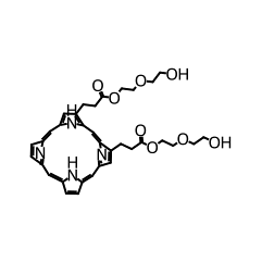 O=C(CCC1=Cc2cc3ccc(cc4nc(cc5cc(CCC(=O)OCCOCCO)c(cc1n2)[nH]5)C=C4)[nH]3)OCCOCCO